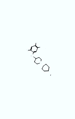 CCO[C@H]1CC[C@H](N2CCC(Nc3cc(C)c(Br)cc3[N+](=O)[O-])CC2)CC1